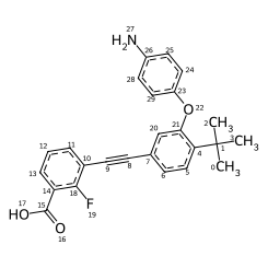 CC(C)(C)c1ccc(C#Cc2cccc(C(=O)O)c2F)cc1Oc1ccc(N)cc1